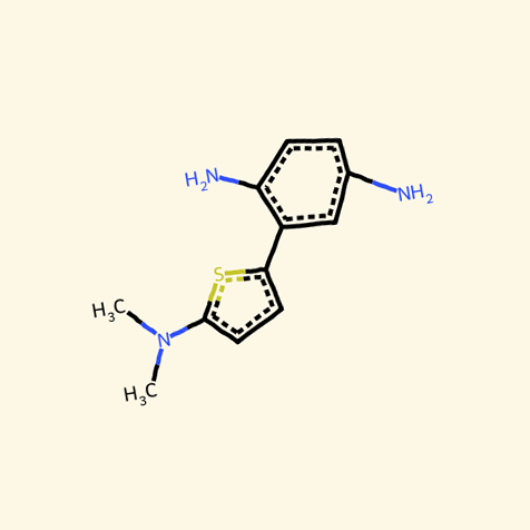 CN(C)c1ccc(-c2cc(N)ccc2N)s1